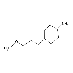 COCCCC1=CCC(N)CC1